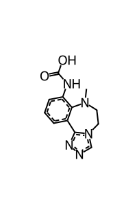 CN1CCn2cnnc2-c2cccc(NC(=O)O)c21